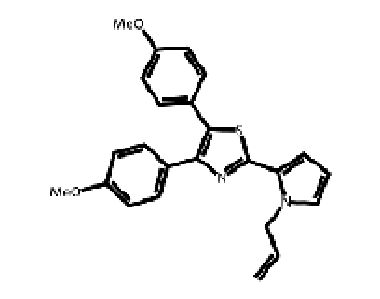 C=CCn1cccc1-c1nc(-c2ccc(OC)cc2)c(-c2ccc(OC)cc2)s1